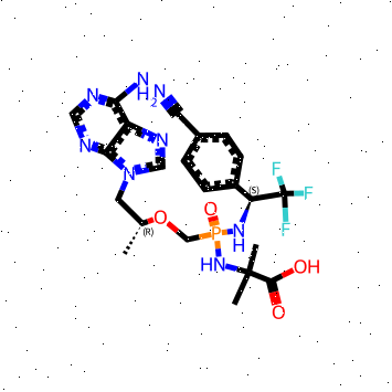 C[C@H](Cn1cnc2c(N)ncnc21)OCP(=O)(N[C@@H](c1ccc(C#N)cc1)C(F)(F)F)NC(C)(C)C(=O)O